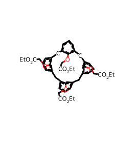 CCOC(=O)COc1c2cccc1Cc1cccc(c1OCC(=O)OCC)Cc1cccc(c1OCC(=O)OCC)Cc1cccc(c1OCC(=O)OCC)C2